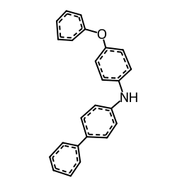 c1ccc(Oc2ccc(Nc3ccc(-c4ccccc4)cc3)cc2)cc1